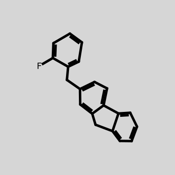 Fc1ccccc1Cc1ccc2c(c1)Cc1ccccc1-2